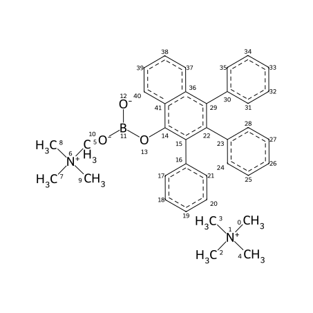 C[N+](C)(C)C.C[N+](C)(C)C.[O-]B([O-])Oc1c(-c2ccccc2)c(-c2ccccc2)c(-c2ccccc2)c2ccccc12